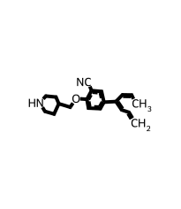 C=C/C=C(\C=C/C)c1ccc(OCC2CCNCC2)c(C#N)c1